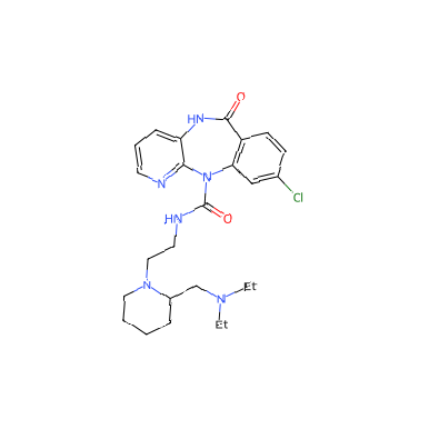 CCN(CC)CC1CCCCN1CCNC(=O)N1c2cc(Cl)ccc2C(=O)Nc2cccnc21